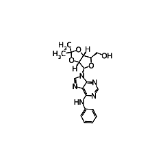 CC1(C)O[C@@H]2[C@H](O1)[C@@H](CO)O[C@H]2n1cnc2c(Nc3ccccc3)ncnc21